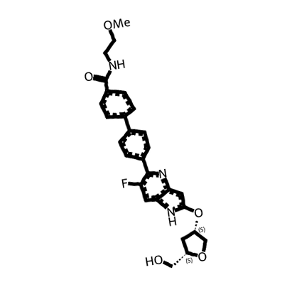 COCCNC(=O)c1ccc(-c2ccc(-c3nc4cc(O[C@@H]5CO[C@H](CO)C5)[nH]c4cc3F)cc2)cc1